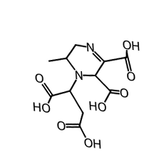 CC1CN=C(C(=O)O)C(C(=O)O)N1C(CC(=O)O)C(=O)O